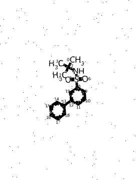 CC(C)(C)NS(=O)(=O)c1cccc(-c2ccccc2)c1